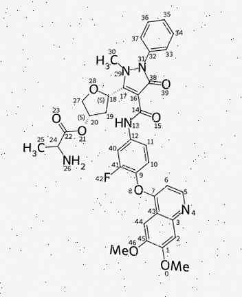 COc1cc2nccc(Oc3ccc(NC(=O)c4c([C@@H]5C[C@H](OC(=O)C(C)N)CO5)n(C)n(-c5ccccc5)c4=O)cc3F)c2cc1OC